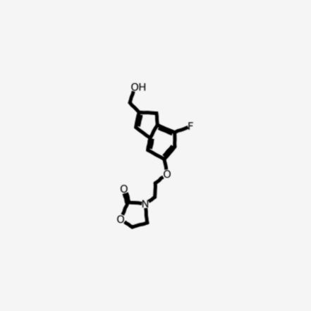 O=C1OCCN1CCOc1cc(F)c2c(c1)C=C(CO)C2